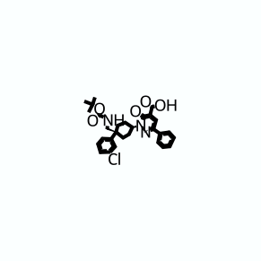 CC(C)(C)OC(=O)NC[C@]1(c2cccc(Cl)c2)CC[C@H](n2nc(-c3ccccc3)cc(C(=O)O)c2=O)CC1